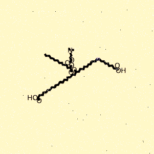 CCCCCCCCCCCCC(OC(=O)OCCCN(C)C)C(=O)OC(CCCCCCC=CCC=CCCCCCCCC(=O)O)CCCCCCC=CC/C=C\CCCCCCCC(=O)O